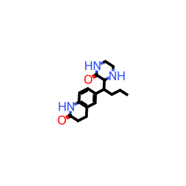 CCCC(c1ccc2c(c1)CCC(=O)N2)C1NCCNC1=O